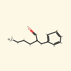 CCCCC([C]=O)Cc1ccccc1